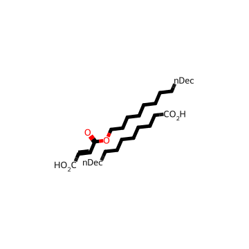 CCCCCCCCCCCCCCCCCC(=O)O.CCCCCCCCCCCCCCCCCCOC(=O)/C=C/C(=O)O